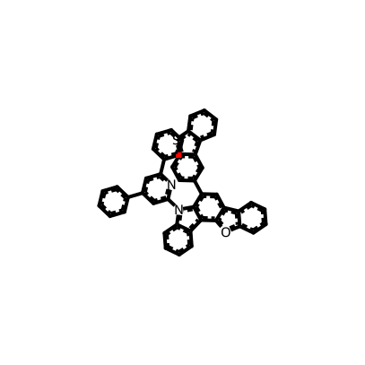 c1ccc(-c2cc(-c3ccccc3)nc(-n3c4ccccc4c4c5oc6ccccc6c5cc(-c5ccc6sc7ccccc7c6c5)c43)c2)cc1